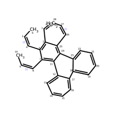 C=Cc1c(/C=C\C)c(/C=C\C)c2c3ccccc3c3ccccc3c2c1/C=C\C